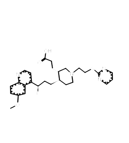 COc1ccc2nccc([C@H](F)CC[C@@H]3CCN(CCSc4ncccn4)C[C@H]3CCC(=O)O)c2c1